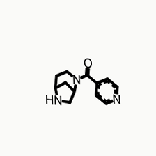 O=C(c1ccncc1)N1CCC2CC1CN2